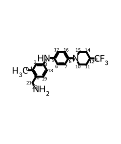 Cc1cc(Nc2ccc(N3CCC(C(F)(F)F)CC3)cc2)ccc1CN